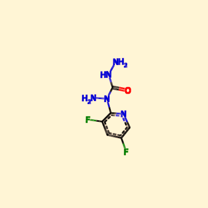 NNC(=O)N(N)c1ncc(F)cc1F